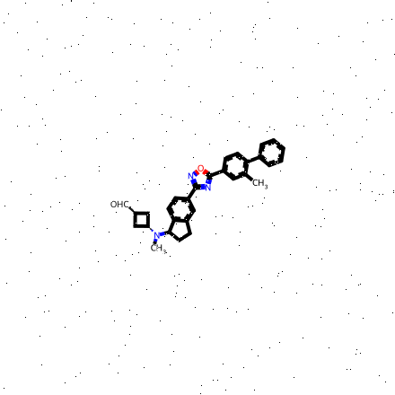 Cc1cc(-c2nc(-c3ccc4c(c3)CCC4N(C)[C@H]3C[C@H](C=O)C3)no2)ccc1-c1ccccc1